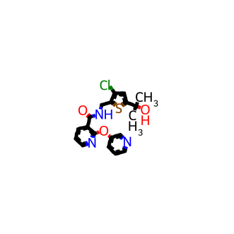 CC(C)(O)c1cc(Cl)c(CNC(=O)c2cccnc2Oc2cccnc2)s1